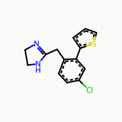 Clc1ccc(CC2=NCCN2)c(-c2cccs2)c1